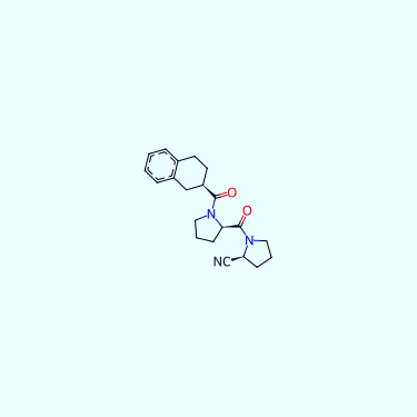 N#C[C@@H]1CCCN1C(=O)[C@H]1CCCN1C(=O)[C@@H]1CCc2ccccc2C1